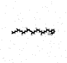 CC(C)=CCCC(C)=CCCC(C)=CCCC(C)=CCCC(C)=CCCC(C)=CCCC(C)=CCCC(C)=CCc1ccccc1O